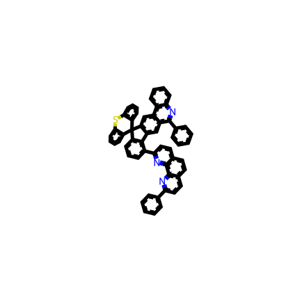 c1ccc(-c2ccc3ccc4ccc(-c5cccc6c5-c5cc7c(-c8ccccc8)nc8ccccc8c7cc5C65c6ccccc6Sc6ccccc65)nc4c3n2)cc1